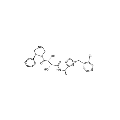 C[C@@H](NC(=O)[C@H](O)[C@@H](O)C(=O)N1CCNC[C@@H]1c1ccccc1)c1ccn(Cc2ccccc2Cl)n1